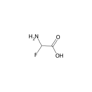 NC(F)C(=O)O